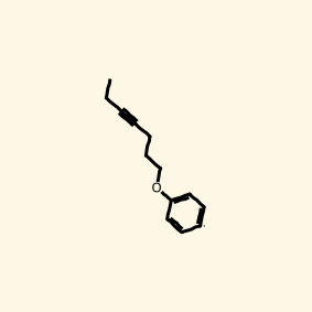 CCC#CCCCOc1cc[c]cc1